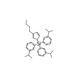 CCCCC1=C[C]([Si](c2cccc(C(C)C)c2)(c2cccc(C(C)C)c2)c2cccc(C(C)C)c2)C=C1